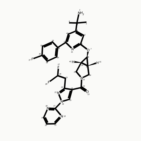 CC(C)(N)c1cc(O[C@H]2[C@@H]3CN(C(=O)c4cn(-c5ncccn5)nc4CC(F)F)C[C@@H]32)nc(-c2ccc(F)cc2)c1